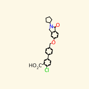 O=C(O)c1cc(-c2ccc(COc3ccc4c(c3)CN(C3CCCC3)C4=O)cc2)ccc1Cl